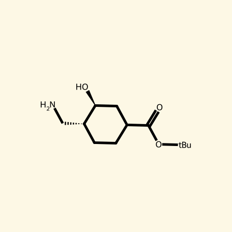 CC(C)(C)OC(=O)C1CC[C@H](CN)[C@@H](O)C1